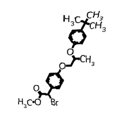 COC(=O)C(Br)c1ccc(OCC(C)Oc2ccc(C(C)(C)C)cc2)cc1